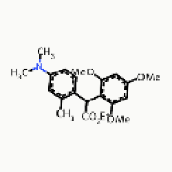 CCOC(=O)C(c1ccc(N(C)C)cc1C)c1c(OC)cc(OC)cc1OC